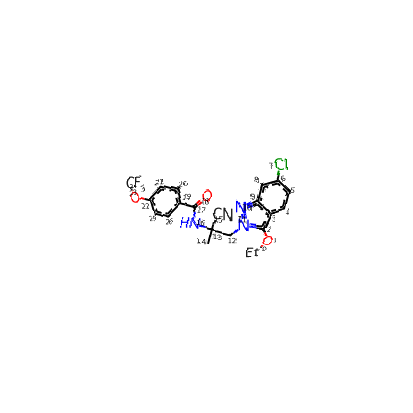 CCOc1c2ccc(Cl)cc2nn1CC(C)(C#N)NC(=O)c1ccc(OC(F)(F)F)cc1